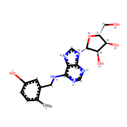 COc1ccc(O)cc1CNc1ncnc2c1ncn2[C@@H]1O[C@H](CO)[C@@H](O)[C@H]1O